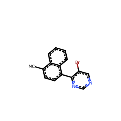 N#Cc1ccc(-c2ncncc2Br)c2ccccc12